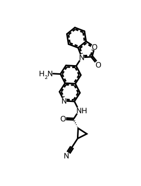 N#CC1C[C@H]1C(=O)Nc1cc2cc(-n3c(=O)oc4ccccc43)cc(N)c2cn1